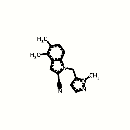 Cc1ccc2c(cc(C#N)n2Cc2ccnn2C)c1C